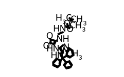 Cn1ncc(Nc2c(NCCNC(=O)OC(C)(C)C)c(=O)c2=O)c1NC(c1ccccc1)(c1ccccc1)c1ccccc1